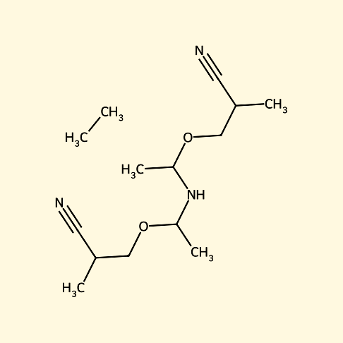 CC.CC(C#N)COC(C)NC(C)OCC(C)C#N